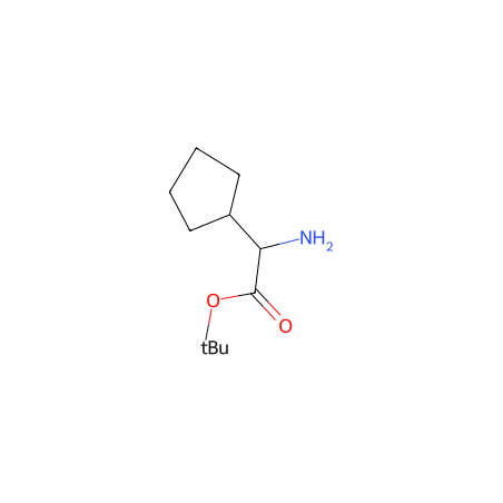 CC(C)(C)OC(=O)C(N)C1CCCC1